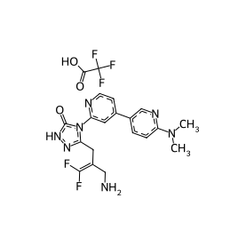 CN(C)c1ccc(-c2ccnc(-n3c(CC(CN)=C(F)F)n[nH]c3=O)c2)cn1.O=C(O)C(F)(F)F